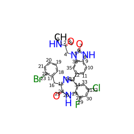 CNC(=O)Cn1c(=O)[nH]c2ccc(C3=NC(Cc4ccccc4Br)C(=O)Nc4c(F)cc(Cl)cc43)cc21